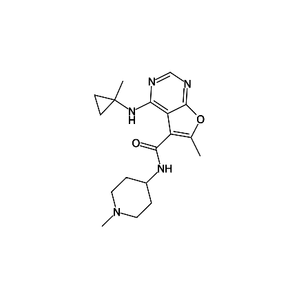 Cc1oc2ncnc(NC3(C)CC3)c2c1C(=O)NC1CCN(C)CC1